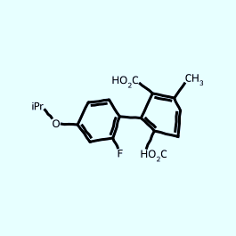 Cc1ccc(C(=O)O)c(-c2ccc(OC(C)C)cc2F)c1C(=O)O